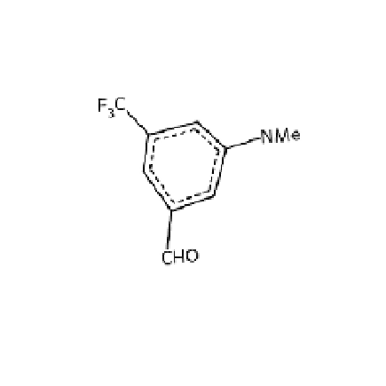 CNc1cc(C=O)cc(C(F)(F)F)c1